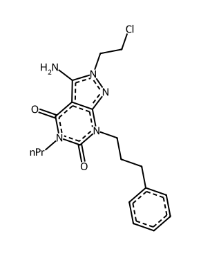 CCCn1c(=O)c2c(N)n(CCCl)nc2n(CCCc2ccccc2)c1=O